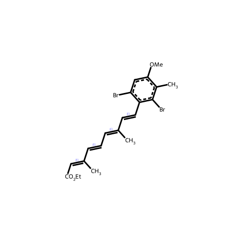 CCOC(=O)/C=C(C)/C=C/C=C(C)/C=C/c1c(Br)cc(OC)c(C)c1Br